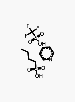 CCCCS(=O)(=O)O.O=S(=O)(O)C(F)(F)F.c1ccncc1